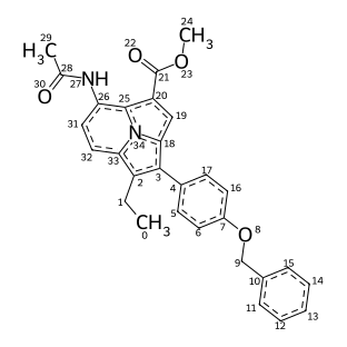 CCc1c(-c2ccc(OCc3ccccc3)cc2)c2cc(C(=O)OC)c3c(NC(C)=O)ccc1n23